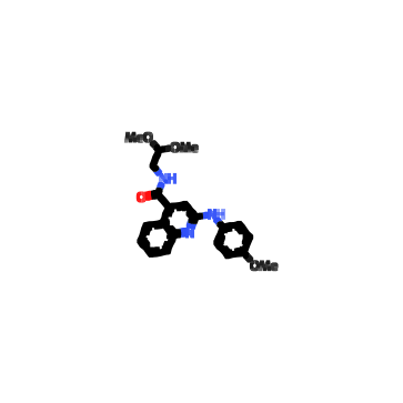 COc1ccc(Nc2cc(C(=O)NCC(OC)OC)c3ccccc3n2)cc1